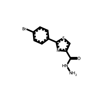 NNC(=O)c1csc(-c2ccc(Br)cc2)n1